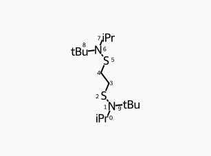 CC(C)N(SCCSN(C(C)C)C(C)(C)C)C(C)(C)C